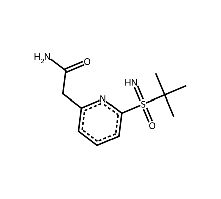 CC(C)(C)S(=N)(=O)c1cccc(CC(N)=O)n1